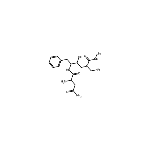 CC(C)CN(CC(O)C(Cc1ccccc1)NC(=O)C(N)CC(N)=O)C(=O)NC(C)(C)C